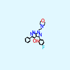 Oc1c(-c2ccccc2)nnc2c1c(-c1ccc(F)cc1)nn2CCN1CCOCC1